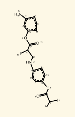 CC(I)C(=O)Oc1ccc(NCC(I)C(=O)Oc2cccc(N)c2)cc1